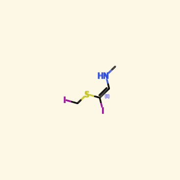 CN/C=C(/I)SCI